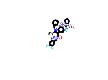 CC(C)c1c(C(=O)NCc2ccc(F)c(F)c2)c2cc(F)c([N+](C)(C)C3CCCC3)cc2n1Cc1ccccc1